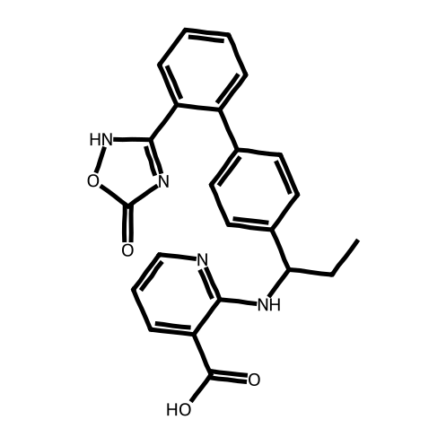 CCC(Nc1ncccc1C(=O)O)c1ccc(-c2ccccc2-c2nc(=O)o[nH]2)cc1